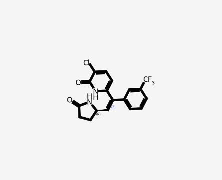 O=C1CC[C@H](/C=C(/c2cccc(C(F)(F)F)c2)c2ccc(Cl)c(=O)[nH]2)N1